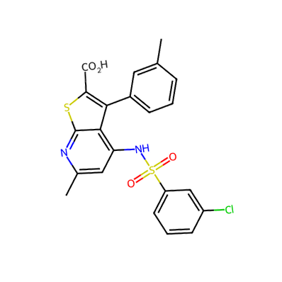 Cc1cccc(-c2c(C(=O)O)sc3nc(C)cc(NS(=O)(=O)c4cccc(Cl)c4)c23)c1